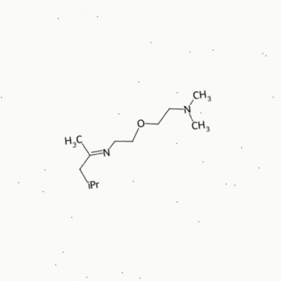 CC(CC(C)C)=NCCOCCN(C)C